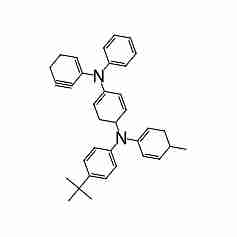 CC1C=CC(N(c2ccc(C(C)(C)C)cc2)C2C=CC(N(C3=CCCC#C3)c3ccccc3)=CC2)=CC1